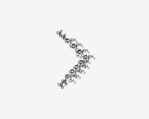 CC[N+]1(C)C=CN=C1.CC[N+]1(C)C=CN=C1.CC[N+]1(C)C=CN=C1.CC[N+]1(C)C=CN=C1.CC[N+]1(C)C=CN=C1.CC[N+]1(C)C=CN=C1.CC[N+]1(C)C=CN=C1.CC[N+]1(C)C=CN=C1.[O-]B([O-])F.[O-]B([O-])F.[O-]B([O-])F.[O-]B([O-])F